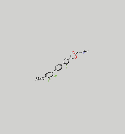 C/C=C/CCC1OCC(c2ccc(-c3ccc(-c4ccc(OC)c(F)c4F)cc3)c(F)c2)CO1